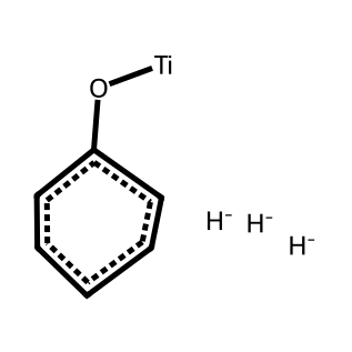 [H-].[H-].[H-].[Ti][O]c1ccccc1